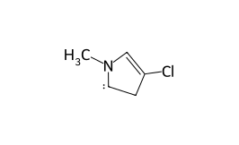 CN1[C]CC(Cl)=C1